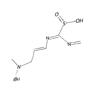 C=N/C(=N\C=C\CN(C)[C@@H](C)CC)S(=O)O